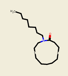 CCCCCCCCN1CCCCCCCCCCCC1=O